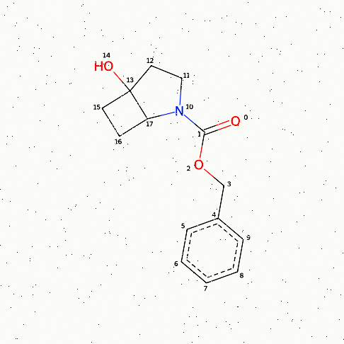 O=C(OCc1ccccc1)N1CCC2(O)CCC12